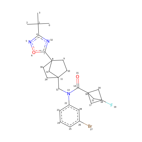 CC(C)(C)c1noc(C23CCC(CN(C(=O)C45CC(F)(C4)C5)c4cccc(Br)c4)(CC2)C3)n1